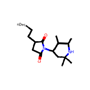 CCCCCCCCCCCCC1CC(=O)N(C2CC(C)(C)NC(C)C2C)C1=O